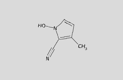 Cc1ccn(O)c1C#N